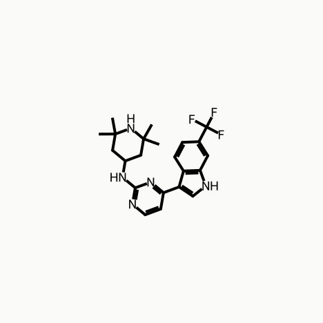 CC1(C)CC(Nc2nccc(-c3c[nH]c4cc(C(F)(F)F)ccc34)n2)CC(C)(C)N1